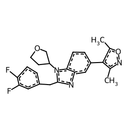 Cc1noc(C)c1-c1ccc2c(c1)nc(Cc1ccc(F)c(F)c1)n2C1CCOC1